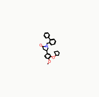 COc1ccc(C2CC(=O)N(Cc3ccccc3-c3ccccc3)C2)cc1OC1CCCC1